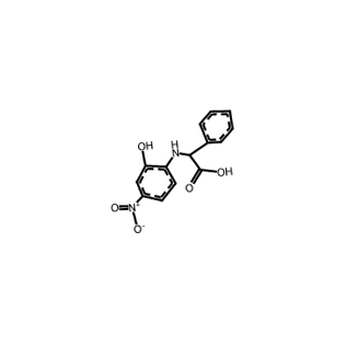 O=C(O)C(Nc1ccc([N+](=O)[O-])cc1O)c1ccccc1